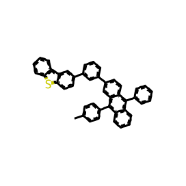 Cc1ccc(-c2c3ccccc3c(-c3ccccc3)c3ccc(-c4cccc(-c5ccc6sc7ccccc7c6c5)c4)cc23)cc1